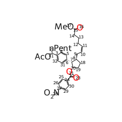 CCCCCC(OC(C)=O)c1ccc([C@@H]2[C@@H](C/C=C\CCCC(=O)OC)CC[C@H]2OC(=O)c2ccc([N+](=O)[O-])cc2)cc1